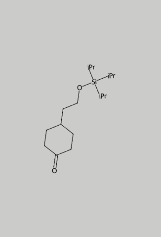 CC(C)[Si](OCCC1CCC(=O)CC1)(C(C)C)C(C)C